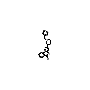 O=c1[nH]c2cc(C3CCCN(Cc4ccncc4)C3)nn2c2ccccc12